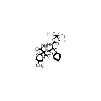 CC1=CN2C(=O)C(NC(=O)C(NC(=O)OC(C)(C)C)Oc3ccccc3)(C(=O)O)[C@@H]2SC1